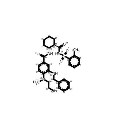 Cc1ccccc1S(=O)(=O)NC(=O)[C@@H]1CCCC[C@H]1NC(=O)c1ccc(N(C)CCC(C)C)c(NCc2ccccc2)c1